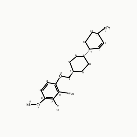 CCCC1C=CC([C@H]2CC[C@H](COc3ccc(OCC)c(F)c3F)CC2)CC1